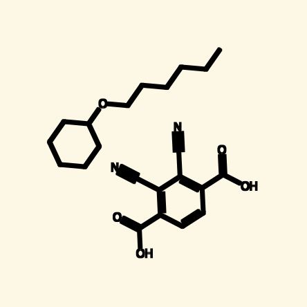 CCCCCCOC1CCCCC1.N#Cc1c(C(=O)O)ccc(C(=O)O)c1C#N